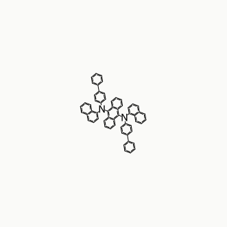 c1ccc(-c2ccc(N(c3cccc4ccccc34)c3c4ccccc4c(N(c4ccc(-c5ccccc5)cc4)c4cccc5ccccc45)c4ccccc34)cc2)cc1